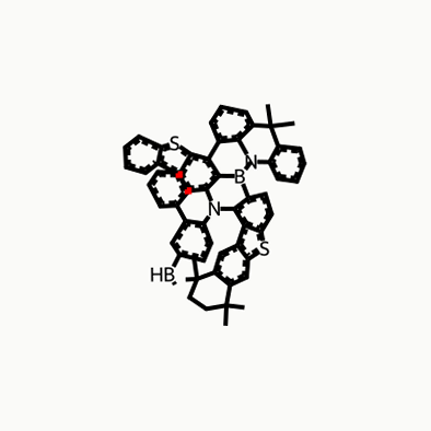 CBc1ccc(N2c3cc4c(sc5ccccc54)c4c3B(c3ccc5sc6cc7c(cc6c5c32)C(C)(C)CCC7(C)C)N2c3ccccc3C(C)(C)c3cccc-4c32)c(-c2ccccc2)c1